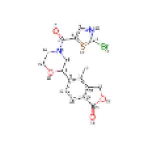 Cc1c(C2CN(C(=O)c3cnc(Br)s3)CCO2)ccc2c1COC2=O